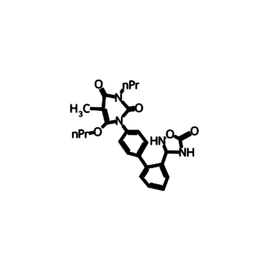 CCCOc1c(C)c(=O)n(CCC)c(=O)n1-c1ccc(-c2ccccc2C2NOC(=O)N2)cc1